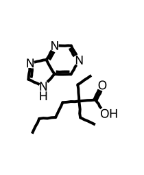 CCCCC(CC)(CC)C(=O)O.c1ncc2[nH]cnc2n1